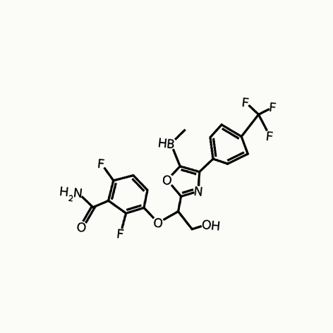 CBc1oc(C(CO)Oc2ccc(F)c(C(N)=O)c2F)nc1-c1ccc(C(F)(F)F)cc1